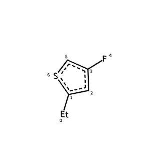 CCc1cc(F)cs1